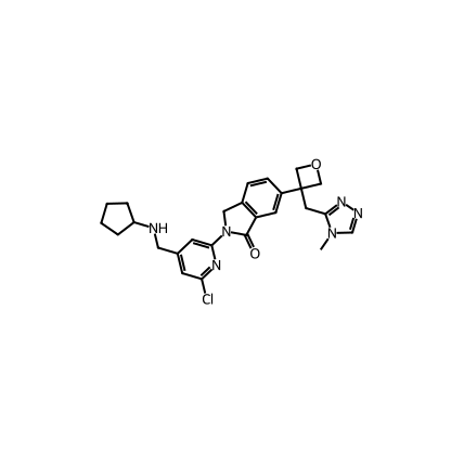 Cn1cnnc1CC1(c2ccc3c(c2)C(=O)N(c2cc(CNC4CCCC4)cc(Cl)n2)C3)COC1